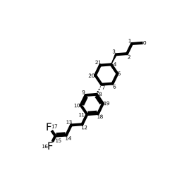 CCCC[C@H]1CC[C@H](c2ccc(CCC=C(F)F)cc2)CC1